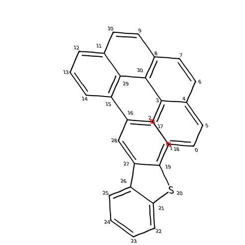 c1ccc2c(c1)ccc1ccc3cccc(-c4ccc5sc6ccccc6c5c4)c3c12